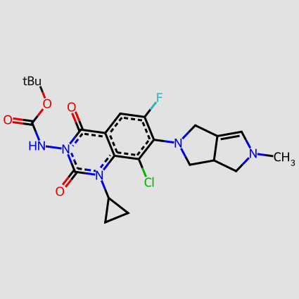 CN1C=C2CN(c3c(F)cc4c(=O)n(NC(=O)OC(C)(C)C)c(=O)n(C5CC5)c4c3Cl)CC2C1